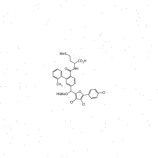 COC(c1ccc(C(=O)NC(CCSC)C(=O)O)c(-c2ccccc2C)c1)c1oc(-c2ccc(Cl)cc2)c(Cl)c1Cl.[LiH]